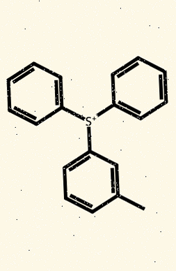 Cc1cccc([S+](c2ccccc2)c2ccccc2)c1